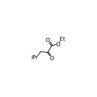 CCOC(=O)C(=O)CC(C)C